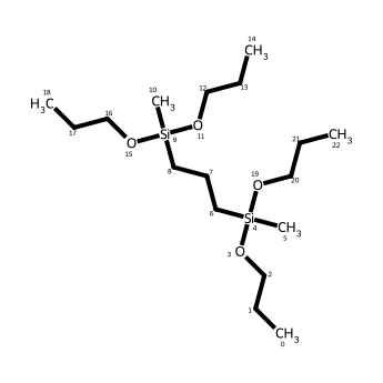 CCCO[Si](C)(CCC[Si](C)(OCCC)OCCC)OCCC